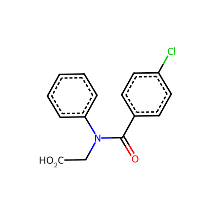 O=C(O)CN(C(=O)c1ccc(Cl)cc1)c1ccccc1